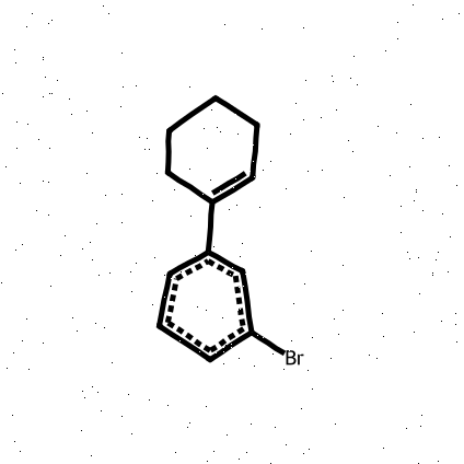 Brc1cccc(C2=CCCCC2)c1